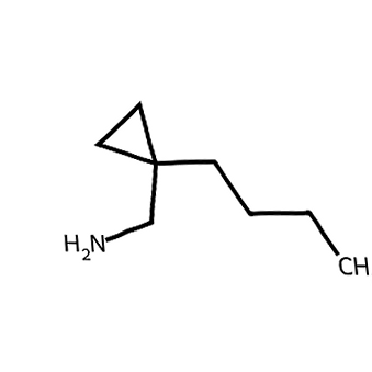 CCCCC1(CN)CC1